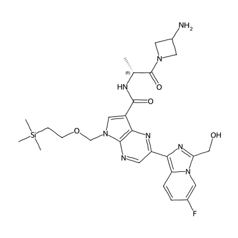 C[C@@H](NC(=O)c1cn(COCC[Si](C)(C)C)c2ncc(-c3nc(CO)n4cc(F)ccc34)nc12)C(=O)N1CC(N)C1